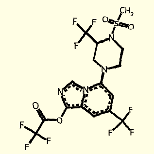 CS(=O)(=O)N1CCN(c2cc(C(F)(F)F)cc3c(OC(=O)C(F)(F)F)ncn23)CC1C(F)(F)F